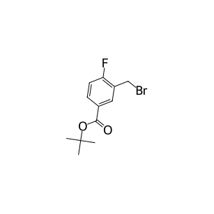 CC(C)(C)OC(=O)c1ccc(F)c(CBr)c1